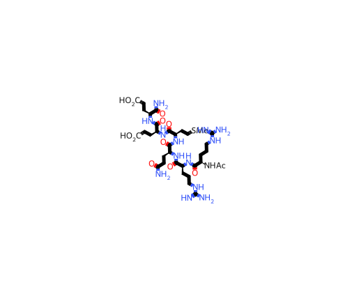 CSCC[C@@H](NC(=O)[C@H](CCC(N)=O)NC(=O)[C@H](CCCNC(=N)N)NC(=O)[C@H](CCCNC(=N)N)NC(C)=O)C(=O)N[C@@H](CCC(=O)O)C(=O)N[C@@H](CCC(=O)O)C(N)=O